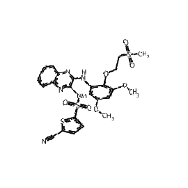 COc1cc(Nc2nc3ccccc3nc2NS(=O)(=O)c2ccc(C#N)s2)c(OCCS(C)(=O)=O)c(OC)c1